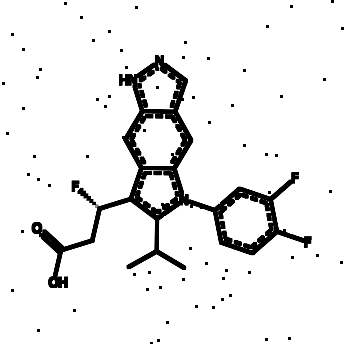 CC(C)c1c([C@@H](F)CC(=O)O)c2cc3[nH]ncc3cc2n1-c1ccc(F)c(F)c1